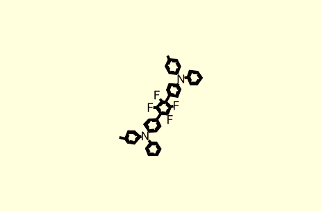 Cc1ccc(N(c2ccccc2)c2ccc(-c3c(F)c(F)c(-c4ccc(N(c5ccccc5)c5ccc(C)cc5)cc4)c(F)c3F)cc2)cc1